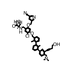 Cc1c(COc2cc(OCc3cncc(C#N)c3)c(CN[C@@](C)(CO)C(=O)O)cc2Cl)cccc1-c1cccc(-c2ccc(CN(C)C)c(C#CCCO)c2)c1C